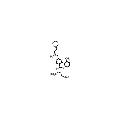 CCCCN(CCN1CCCCC1)Cc1ccc(C(=O)N[C@@H](CCSC)C(=O)O)c(-c2ccccc2C)c1